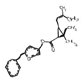 CC(C)=CC1C(C(=O)Oc2coc(Cc3ccccc3)c2)C1(C)C